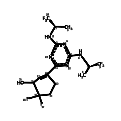 C[C@@H](Nc1nc(N[C@H](C)C(F)(F)F)nc(C2=CC(O)C(F)(F)CC2)n1)C(F)(F)F